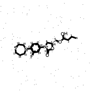 CCCC(O)OC[C@H]1CN(c2ccc(N3CCCSCC3)c(F)c2)C(=O)O1